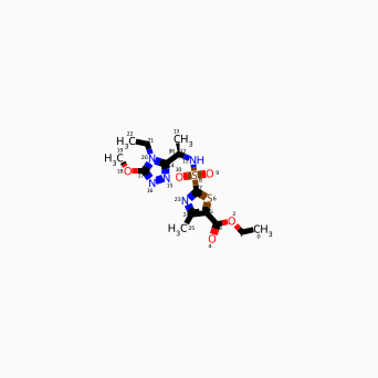 CCOC(=O)c1sc(S(=O)(=O)N[C@H](C)c2nnc(OC)n2CC)nc1C